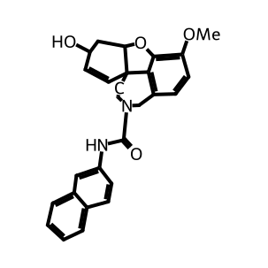 COc1ccc2c3c1OC1CC(O)C=CC31CCN(C(=O)Nc1ccc3ccccc3c1)C2